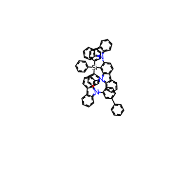 c1ccc(-c2cccc(-n3c4ccccc4c4cccc(-n5c6ccccc6c6ccc(-n7c8ccccc8c8ccccc87)c([Si](c7ccccc7)(c7ccccc7)c7ccccc7)c65)c43)c2)cc1